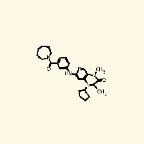 CC1C(=O)N(C)c2cnc(Nc3cccc(C(=O)N4CCCCCC4)c3)cc2N1C1CCCC1